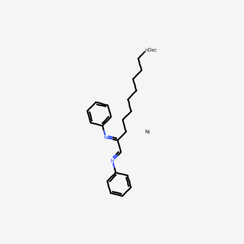 CCCCCCCCCCCCCCCCCCC(C=Nc1ccccc1)=Nc1ccccc1.[Ni]